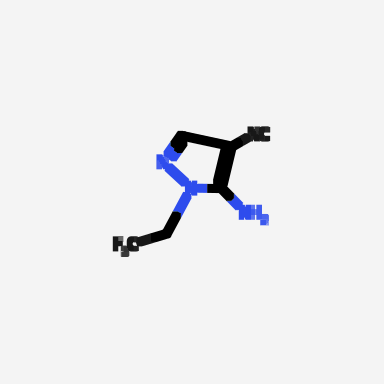 [C-]#[N+]c1cnn(CC(F)(F)F)c1N